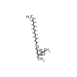 [CH2]CC(CCCOCCCCCCCCCCCCCCC)NC(=O)CC